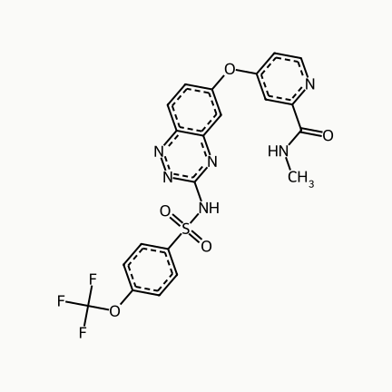 CNC(=O)c1cc(Oc2ccc3nnc(NS(=O)(=O)c4ccc(OC(F)(F)F)cc4)nc3c2)ccn1